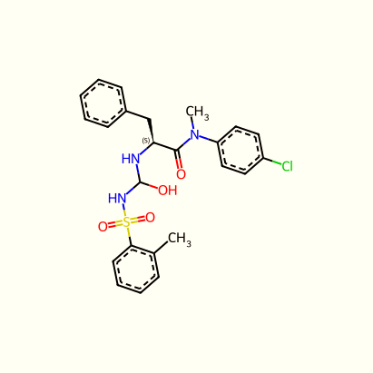 Cc1ccccc1S(=O)(=O)NC(O)N[C@@H](Cc1ccccc1)C(=O)N(C)c1ccc(Cl)cc1